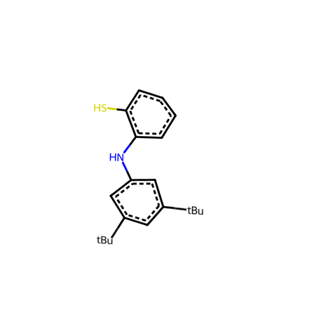 CC(C)(C)c1cc(Nc2ccccc2S)cc(C(C)(C)C)c1